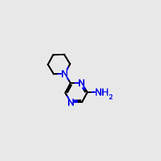 Nc1cncc(N2CCCCC2)n1